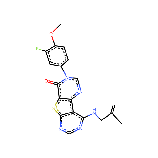 C=C(C)CNc1ncnc2sc3c(=O)n(-c4ccc(OC)c(F)c4)cnc3c12